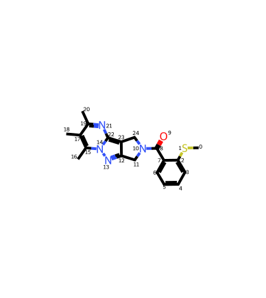 CSc1ccccc1C(=O)N1Cc2nn3c(C)c(C)c(C)nc3c2C1